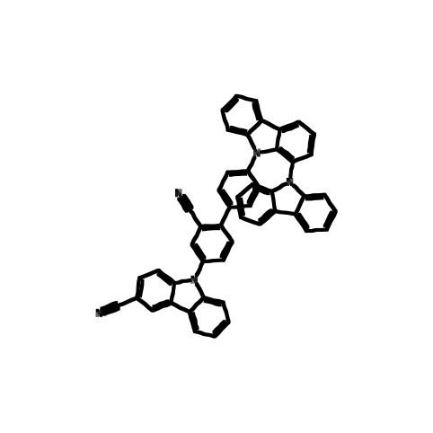 N#Cc1ccc2c(c1)c1ccccc1n2-c1ccc(-c2ccc(-n3c4ccccc4c4cccc(-n5c6ccccc6c6ccccc65)c43)cc2)c(C#N)c1